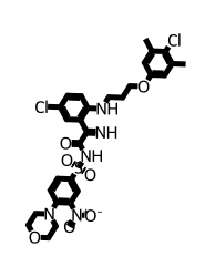 Cc1cc(OCCCNc2ccc(Cl)cc2C(=N)C(=O)NS(=O)(=O)c2ccc(N3CCOCC3)c([N+](=O)[O-])c2)cc(C)c1Cl